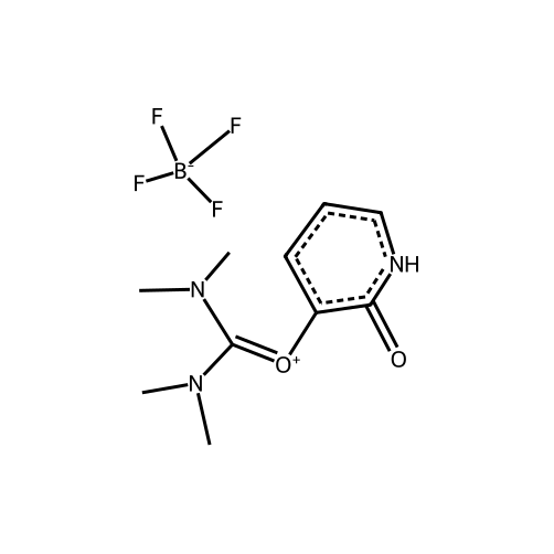 CN(C)C(=[O+]c1ccc[nH]c1=O)N(C)C.F[B-](F)(F)F